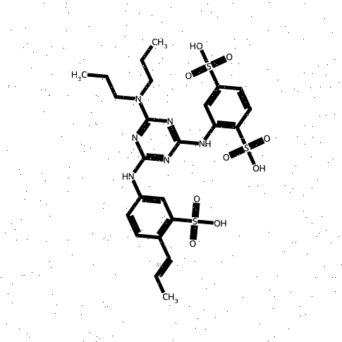 C/C=C/c1ccc(Nc2nc(Nc3cc(S(=O)(=O)O)ccc3S(=O)(=O)O)nc(N(CCC)CCC)n2)cc1S(=O)(=O)O